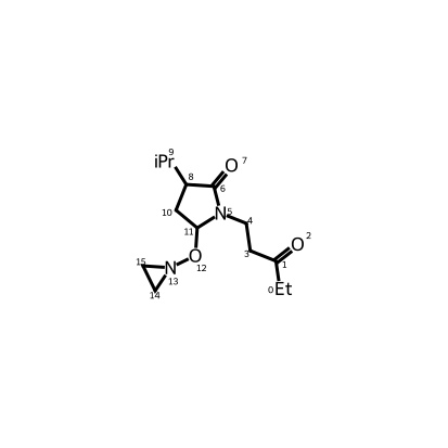 CCC(=O)CCN1C(=O)C(C(C)C)CC1ON1CC1